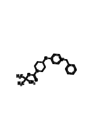 CC(C)(C)OC(=O)N1CCC(Oc2cc[n+](Cc3ccccc3)cc2)CC1